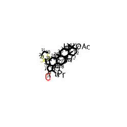 CC(=O)O[C@H]1CCC2(C)[C@H]3CC[C@@H]4C5=C(C(C)C)C(=O)C[C@]5(CC5SCCCS5)CC[C@@]4(C)C3(C)CC[C@H]2C1(C)C